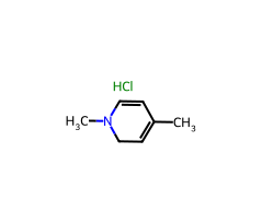 CC1=CCN(C)C=C1.Cl